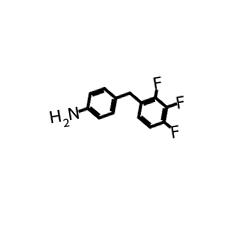 Nc1ccc(Cc2ccc(F)c(F)c2F)cc1